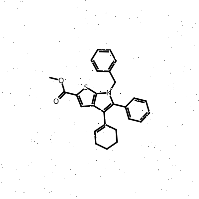 COC(=O)c1cc2c(C3=CCCCC3)c(-c3ccccc3)n(Cc3ccccc3)c2s1